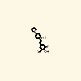 Cl.O=Cc1cc(/C=C/c2ccc(N3CCCC3)cc2)cc(F)c1O